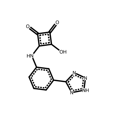 O=c1c(O)c(Nc2cccc(-c3nn[nH]n3)c2)c1=O